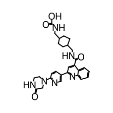 O=C(O)NCC1CCC(CNC(=O)c2cc(-c3ccc(N4CCNC(=O)C4)nc3)nc3ccccc23)CC1